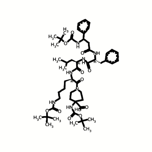 CC(C)C[C@@H](NC(=O)[C@@H](Cc1ccccc1)NC(=O)CC(NC(=O)OC(C)(C)C)c1ccccc1)C(=O)N[C@H](CCCCNC(=O)OC(C)(C)C)C(=O)N1CCC(NC(=O)OC(C)(C)C)(C(=O)O)CC1